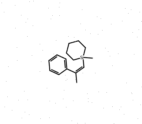 CC(=C[Si]1(C)CCCCC1)c1ccccc1